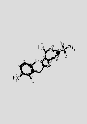 Cc1ccc(F)c(Cc2nc3c(N)nc(S(C)(=O)=O)nc3[nH]2)c1F